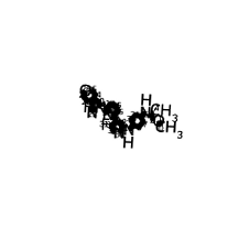 COC[C@@H](C)NC1CCC(Nc2cc(-c3cccc(NCC4(C#N)CCOCC4)n3)c(F)cn2)CC1